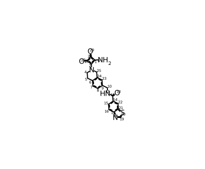 Nc1c(N2CCc3ccc(CNC(=O)c4ccc5ncsc5c4)cc3C2)c(=O)c1=O